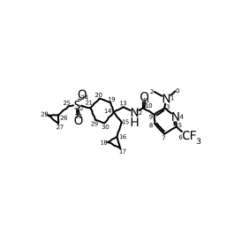 CN(C)c1nc(C(F)(F)F)ccc1C(=O)NCC1(CC2CC2)CCC(S(=O)(=O)CC2CC2)CC1